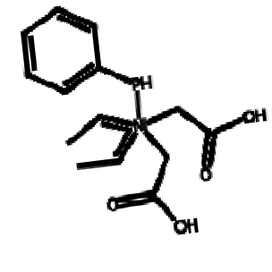 C[CH]=[Ni](=[CH]C)([CH2]C(=O)O)([CH2]C(=O)O)[PH]c1ccccc1